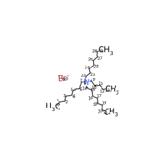 CCCCCCCC[N+](CCCCC)(CCCCCCCC)CCCCCCCC.[Br-]